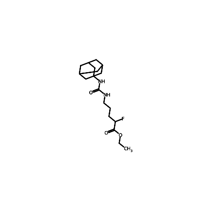 CCOC(=O)C(F)CCCNC(=O)NC12CC3CC(CC(C3)C1)C2